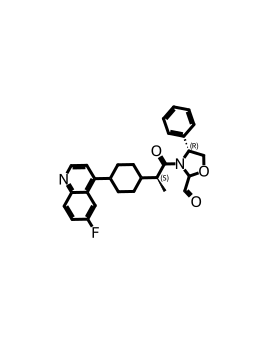 C[C@H](C(=O)N1C(C=O)OC[C@H]1c1ccccc1)C1CCC(c2ccnc3ccc(F)cc23)CC1